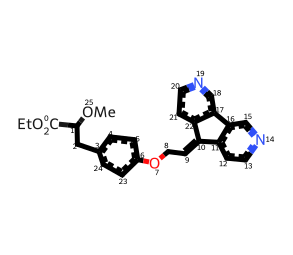 CCOC(=O)C(Cc1ccc(OCC=C2c3ccncc3-c3cnccc32)cc1)OC